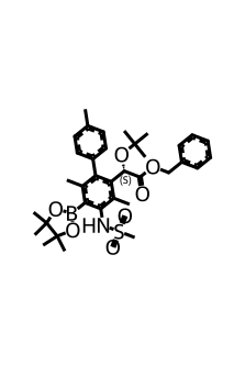 Cc1ccc(-c2c(C)c(B3OC(C)(C)C(C)(C)O3)c(NS(C)(=O)=O)c(C)c2[C@H](OC(C)(C)C)C(=O)OCc2ccccc2)cc1